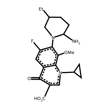 CCC1CCC(N)N(c2c(F)cc3c(=O)c(C(=O)O)cn(C4CC4)c3c2OC)C1